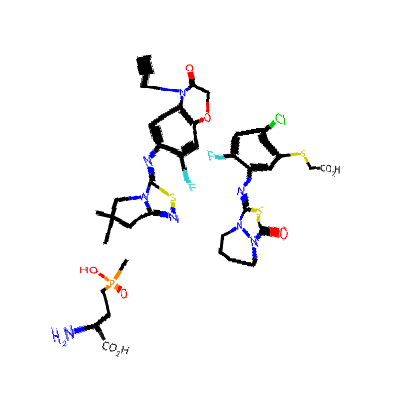 C#CCN1C(=O)COc2cc(F)c(/N=c3\snc4n3CC(C)(C)C4)cc21.CP(=O)(O)CCC(N)C(=O)O.O=C(O)CSc1cc(N=c2sc(=O)n3n2CCCC3)c(F)cc1Cl